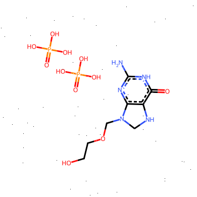 Nc1nc2c(c(=O)[nH]1)NCN2COCCO.O=P(O)(O)O.O=P(O)(O)O